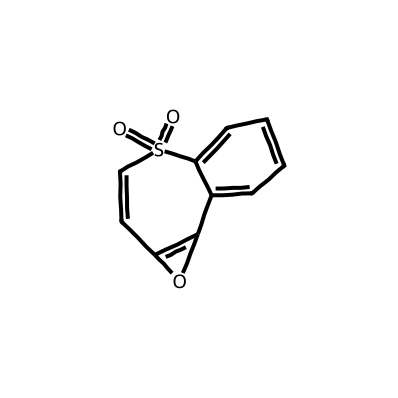 O=S1(=O)C=CC2=C(O2)c2ccccc21